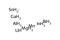 [AlH3].[BiH3].[GaH3].[InH3].[LiH].[MgH2].[Mn].[SnH2]